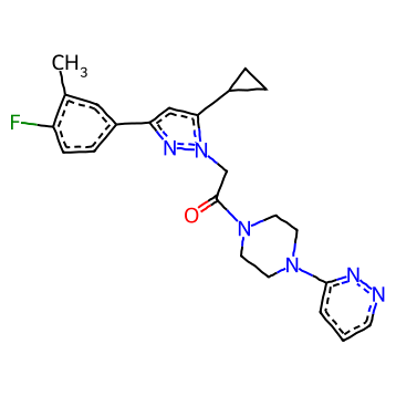 Cc1cc(-c2cc(C3CC3)n(CC(=O)N3CCN(c4cccnn4)CC3)n2)ccc1F